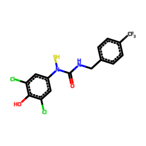 O=C(NCc1ccc(C(F)(F)F)cc1)N(S)c1cc(Cl)c(O)c(Cl)c1